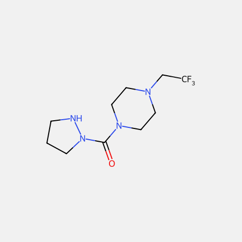 O=C(N1CCN(CC(F)(F)F)CC1)N1CCCN1